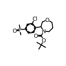 CC(C)(C)OC(=O)N1CCCOCC1c1ccc(P(C)(C)=O)cc1Cl